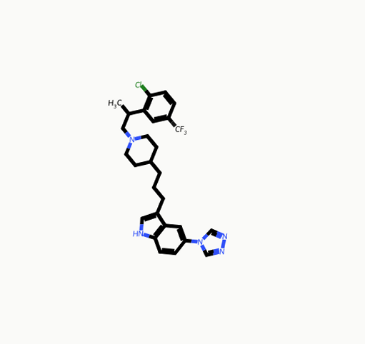 CC(CN1CCC(CCCc2c[nH]c3ccc(-n4cnnc4)cc23)CC1)c1cc(C(F)(F)F)ccc1Cl